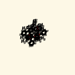 CC1=C(C)C(C)([Si](c2cc(C)c(C)c(-c3ccccc3)c2-c2ccccc2)(c2cc(C)c(C)c(-c3ccccc3)c2-c2ccccc2)c2cc(C)c(C)c(-c3ccccc3)c2-c2ccccc2)[C]([Ti+3])=C1C.[Cl-].[Cl-].[Cl-]